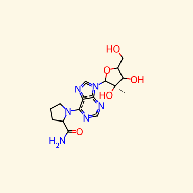 C[C@@]1(O)C(O)C(CO)OC1n1cnc2c(N3CCCC3C(N)=O)ncnc21